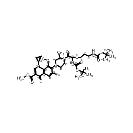 COC(=O)c1cn(C2CC2)c2c(OC)c(N3CCN(C(=O)C(CCCCNC(=O)OC(C)(C)C)NC(=O)OC(C)(C)C)C(C)C3)c(F)cc2c1=O